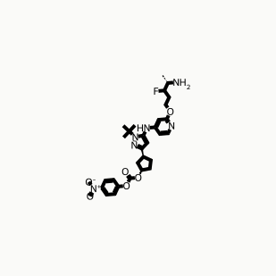 C[C@H](N)C(F)CCOc1cc(Nc2cc([C@H]3CC[C@@H](OC(=O)Oc4ccc([N+](=O)[O-])cc4)C3)nn2C(C)(C)C)ccn1